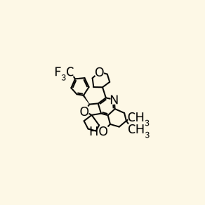 CC1(C)Cc2nc(C3CCOCC3)c3c(c2C(O)C1)C1(CCCC1)O[C@H]3c1ccc(C(F)(F)F)cc1